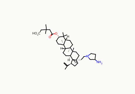 C=C(C)[C@@H]1CC[C@]2(CCN3CCC(N)C3)CC[C@]3(C)[C@H](CC[C@@H]4[C@@]5(C)CC[C@H](OC(=O)CC(C)(C)CC(=O)O)C(C)(C)[C@@H]5CC[C@]43C)[C@@H]12